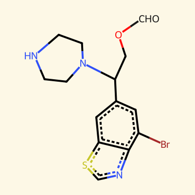 O=COCC(c1cc(Br)c2ncsc2c1)N1CCNCC1